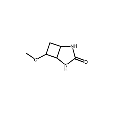 COC1CC2NC(=O)NC21